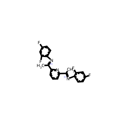 C/C(=N\c1ccc(F)cc1F)c1cccc(/C(C)=N/c2ccc(F)cc2F)n1